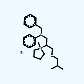 CC(C)COCC(CN(Cc1ccccc1)c1ccccc1)[N+]1(C)CCCC1.[Br-]